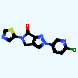 O=C1c2nn(-c3ccc(Cl)nc3)cc2CN1c1cncs1